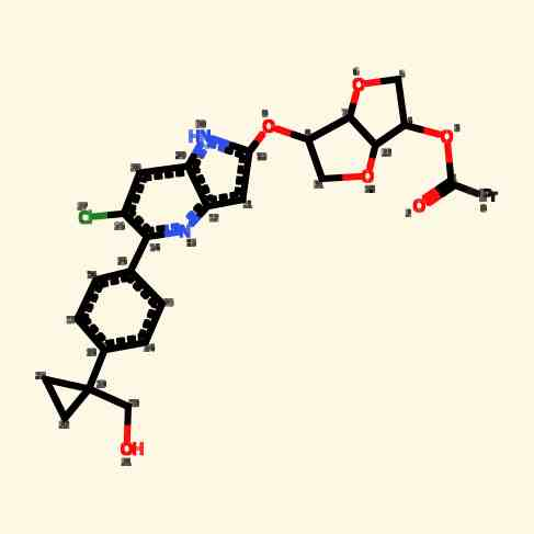 CC(C)C(=O)OC1COC2C(Oc3cc4nc(-c5ccc(C6(CO)CC6)cc5)c(Cl)cc4[nH]3)COC12